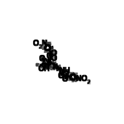 C[C@@H](O)[C@H]1C(=O)N2C(C(=O)OC(=O)c3ccc([N+](=O)[O-])cc3)=C(CN(C)CCNC(=O)OC(=O)c3ccc([N+](=O)[O-])cc3)[C@H](C)[C@H]12